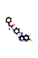 O=C(CC1CCCCC1)N[C@H]1CC[C@@H](Nc2ccnc3cc(Cl)ccc23)CC1